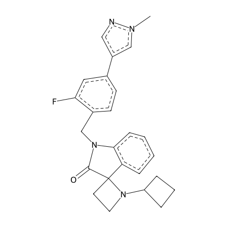 Cn1cc(-c2ccc(CN3C(=O)C4(CCN4C4CCC4)c4ccccc43)c(F)c2)cn1